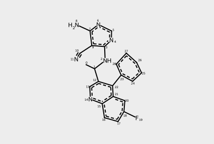 CC(Nc1ncnc(N)c1C#N)c1cnc2ccc(F)cc2c1-c1ccccc1